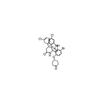 O=C1C[C@@H](C2C=CC=C(Cl)C2)[C@]2(C(=O)Nc3cc(Cl)ccc32)[C@@H](c2c(OC3CCNCC3)ccc(Br)c2F)N1